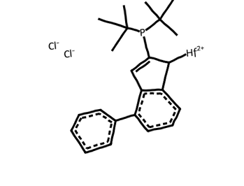 CC(C)(C)P(C1=Cc2c(-c3ccccc3)cccc2[CH]1[Hf+2])C(C)(C)C.[Cl-].[Cl-]